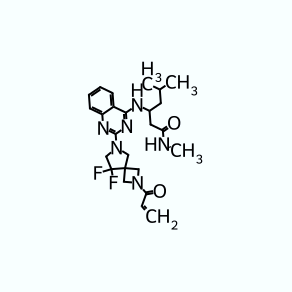 C=CC(=O)N1CC2(C1)CN(c1nc(NC(CC(=O)NC)CC(C)C)c3ccccc3n1)CC2(F)F